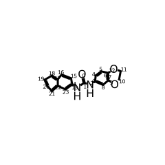 O=C(Nc1ccc2c(c1)OCCO2)Nc1ccc2ccccc2c1